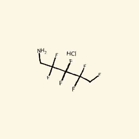 Cl.NCC(F)(F)C(F)(F)C(F)(F)CF